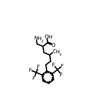 CC(CCc1c(C(F)(F)F)cccc1C(F)(F)F)CC(CN)C(=O)O